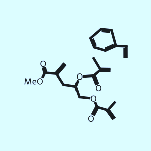 C=C(C)C(=O)OCC(CC(=C)C(=O)OC)OC(=O)C(=C)C.C=Cc1ccccc1